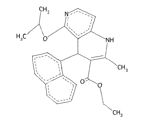 CCOC(=O)C1=C(C)Nc2ccnc(OC(C)C)c2C1c1cccc2ccccc12